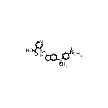 CN(I)c1ccc(N(C)c2ccc3c(c2)CC[C@@H]3CNc2cnccc2C(=O)O)cc1